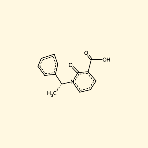 C[C@H](c1ccccc1)n1cccc(C(=O)O)c1=O